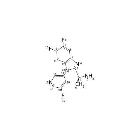 C[C@H](N)c1nc2cc(F)c(F)cc2n1-c1cncc(F)c1